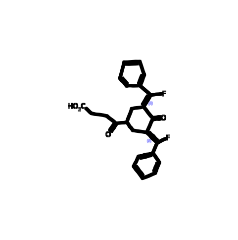 O=C(O)CCC(=O)C1C/C(=C(/F)c2ccccc2)C(=O)/C(=C(\F)c2ccccc2)C1